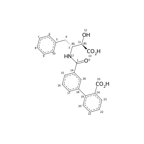 O=C(N[C@H](Cc1ccccc1)[C@@H](O)C(=O)O)c1cccc(-c2ccccc2C(=O)O)c1